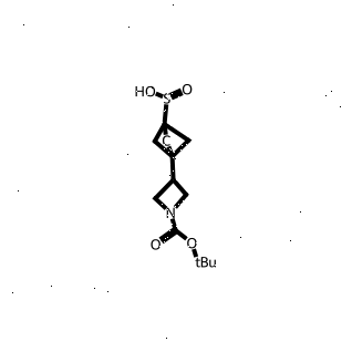 CC(C)(C)OC(=O)N1CC(C23CC(S(=O)O)(C2)C3)C1